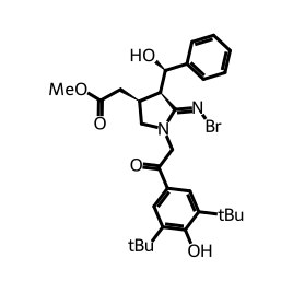 COC(=O)C[C@@H]1CN(CC(=O)c2cc(C(C)(C)C)c(O)c(C(C)(C)C)c2)/C(=N\Br)[C@@H]1[C@@H](O)c1ccccc1